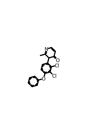 CC1=NC=CC(=O)C1c1ccc(Oc2ccccc2)c(Cl)c1Cl